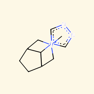 CN1CC2CCC(C1)C2n1cnnc1